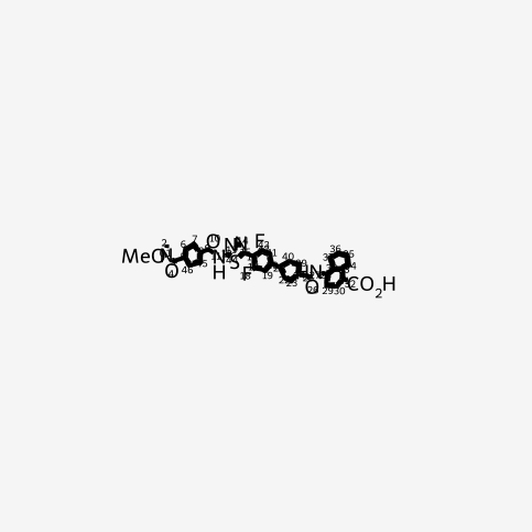 CON(C)C(=O)c1ccc(C(=O)Nc2nnc(-c3c(F)cc(-c4ccc(C(=O)Nc5ccc(C(=O)O)c6ccccc56)cc4)cc3F)s2)cc1